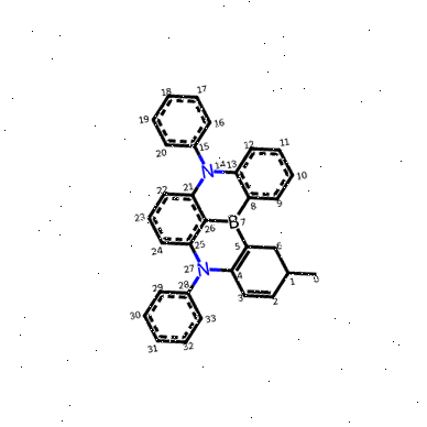 CC1C=CC2=C(C1)B1c3ccccc3N(c3ccccc3)c3cccc(c31)N2c1ccccc1